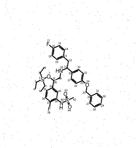 CC[Si](CC)(CC)O[C@@H](CNC(Cc1ccc(F)cc1)c1ccc(OCc2ccccc2)cc1)c1ccc(F)c(NS(C)(=O)=O)c1